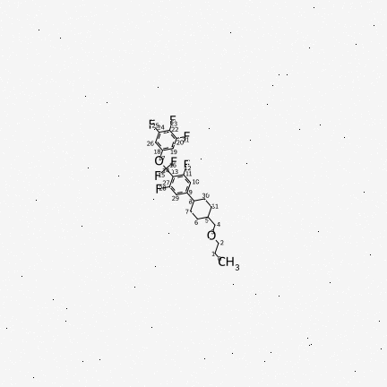 CCCOCC1CCC(c2cc(F)c(C(F)(F)Oc3cc(F)c(F)c(F)c3)c(F)c2)CC1